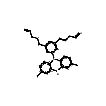 C=CCCCc1cc(CCCC=C)cc(N2c3ccc(C)cc3Oc3cc(C)ccc32)c1